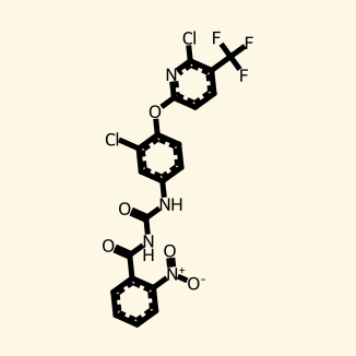 O=C(NC(=O)c1ccccc1[N+](=O)[O-])Nc1ccc(Oc2ccc(C(F)(F)F)c(Cl)n2)c(Cl)c1